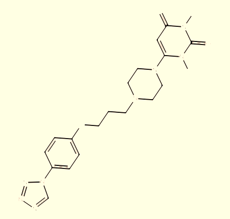 Cn1c(N2CCN(CCCOc3ccc(-n4cnnn4)cc3)CC2)cc(=O)n(C)c1=O